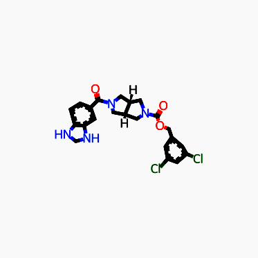 O=C(OCc1cc(Cl)cc(Cl)c1)N1C[C@@H]2CN(C(=O)c3ccc4c(c3)NCN4)C[C@@H]2C1